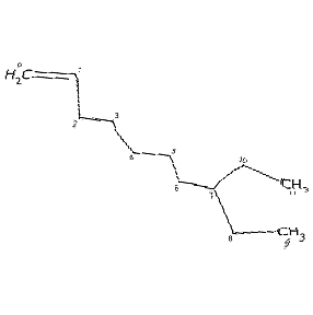 C=CCCCCCC(CC)CC